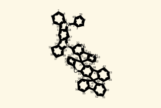 c1ccc(-n2c3ccccc3c3cc4c5ccccc5n(-c5cnc6c(c5)C5(c7ccccc7Oc7cc8c(cc75)-c5ccccc5C85c7ccccc7-c7ccccc75)c5cccnc5-6)c4cc32)cc1